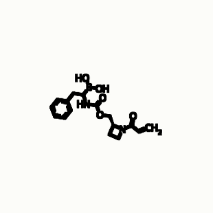 C=CC(=O)N1CC[C@H]1COC(=O)NC(Cc1ccccc1)B(O)O